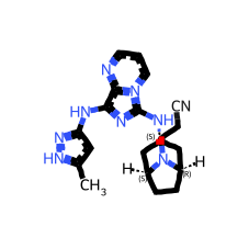 Cc1cc(Nc2nc(N[C@@H]3C[C@H]4CC[C@@H](C3)N4CCC#N)n3cccnc23)n[nH]1